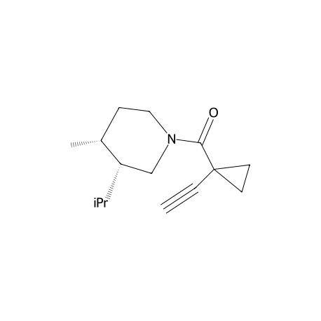 C#CC1(C(=O)N2CC[C@@H](C)[C@@H](C(C)C)C2)CC1